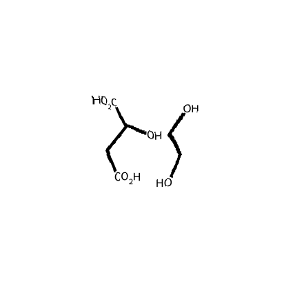 O=C(O)CC(O)C(=O)O.OCCO